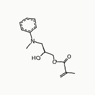 C=C(C)C(=O)OCC(O)CN(C)c1ccccc1